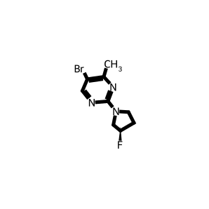 Cc1nc(N2CC[C@@H](F)C2)ncc1Br